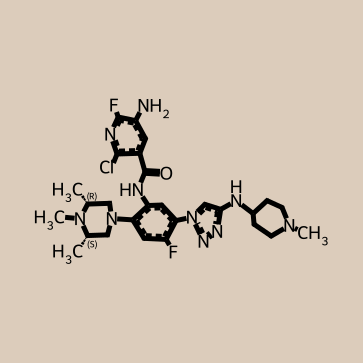 C[C@@H]1CN(c2cc(F)c(-n3cc(NC4CCN(C)CC4)nn3)cc2NC(=O)c2cc(N)c(F)nc2Cl)C[C@H](C)N1C